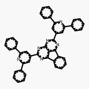 c1ccc(-c2cc(-c3nc4c5c(nc(-c6cc(-c7ccccc7)nc(-c7ccccc7)c6)nc5n3)-c3ccccc3-4)cc(-c3ccccc3)n2)cc1